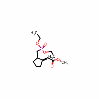 CCOP(=O)(CC1CCCC1=CC(=O)OC)OCC